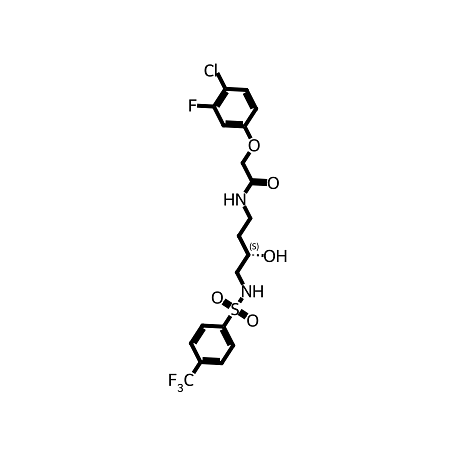 O=C(COc1ccc(Cl)c(F)c1)NCC[C@H](O)CNS(=O)(=O)c1ccc(C(F)(F)F)cc1